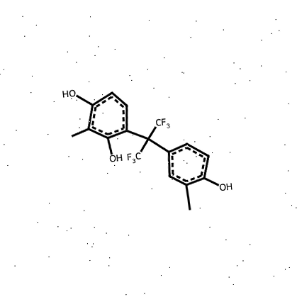 Cc1cc(C(c2ccc(O)c(C)c2O)(C(F)(F)F)C(F)(F)F)ccc1O